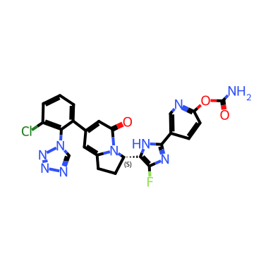 NC(=O)Oc1ccc(-c2nc(F)c([C@@H]3CCc4cc(-c5cccc(Cl)c5-n5cnnn5)cc(=O)n43)[nH]2)cn1